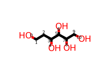 OCCC(O)C(O)C(O)CO